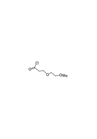 COCCOCCC(=O)Cl